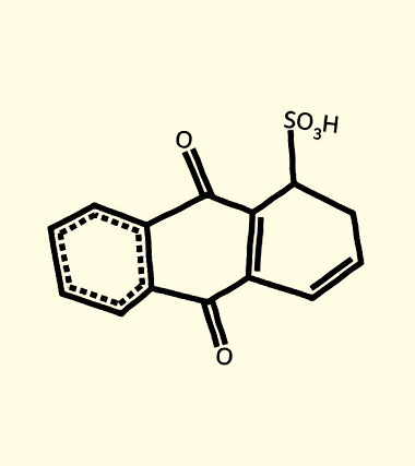 O=C1C2=C(C(=O)c3ccccc31)C(S(=O)(=O)O)CC=C2